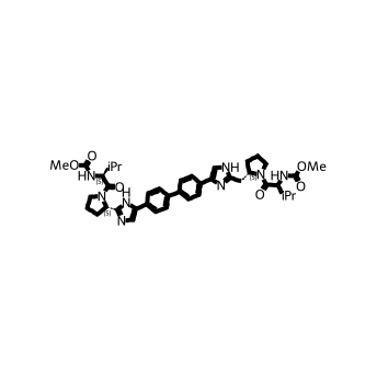 COC(=O)NC(C(=O)N1CCC[C@H]1Cc1nc(-c2ccc(-c3ccc(-c4cnc([C@@H]5CCCN5C(=O)[C@@H](NC(=O)OC)C(C)C)[nH]4)cc3)cc2)c[nH]1)C(C)C